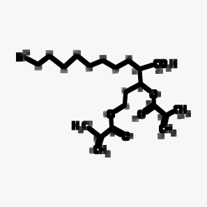 C=C(C)C(=O)OCCC(OC(=O)C(=C)C)C(CCCCCCCCBr)C(=O)O